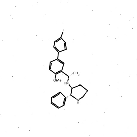 COc1ccc(-c2ccc(F)cc2)cc1[C@H](C)N[C@H]1CCCN[C@@H]1c1ccccc1